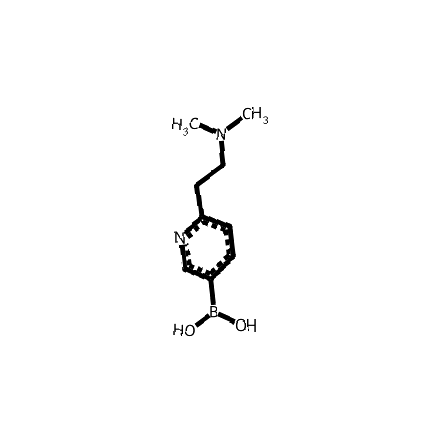 CN(C)CCc1ccc(B(O)O)cn1